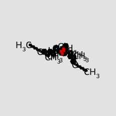 CCCCCCCCOc1ccc2c(c1)=CC(C)(C)c1c3c(ccc1=2)=C(C1=CC=CC=C(C(C)C(=O)C(C)C2=CC=CC=C(C4=c5ccc6c(c5CCC4)C(C)(C)C=c4cc(OCCCCCCCC)ccc4=6)[SH]2Cc2ccccc2)[SH]1Cc1ccccc1)CCC3